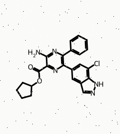 Nc1nc(-c2ccccc2)c(-c2cc(Cl)c3[nH]ncc3c2)nc1C(=O)OC1CCCC1